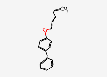 C=CCCCOc1ccc(-c2ccccc2)cc1